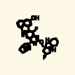 C#Cc1cccc2cc(O)cc(-c3ncc4c(N5CC6CCC(C5)N6)nc(OC[C@@]56C[C@H](F)CN5[C@@H]5CCCC[C@@H]5C6)nc4c3F)c12